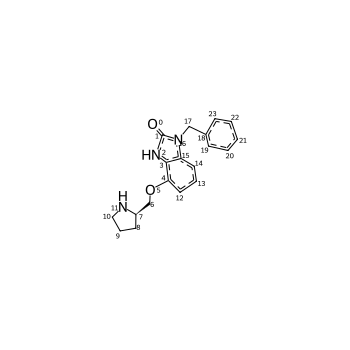 O=c1[nH]c2c(OC[C@H]3CCCN3)cccc2n1Cc1ccccc1